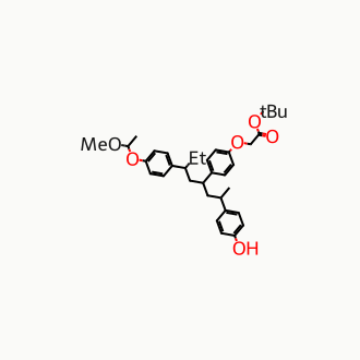 CCC(CC(CC(C)c1ccc(O)cc1)c1ccc(OCC(=O)OC(C)(C)C)cc1)c1ccc(OC(C)OC)cc1